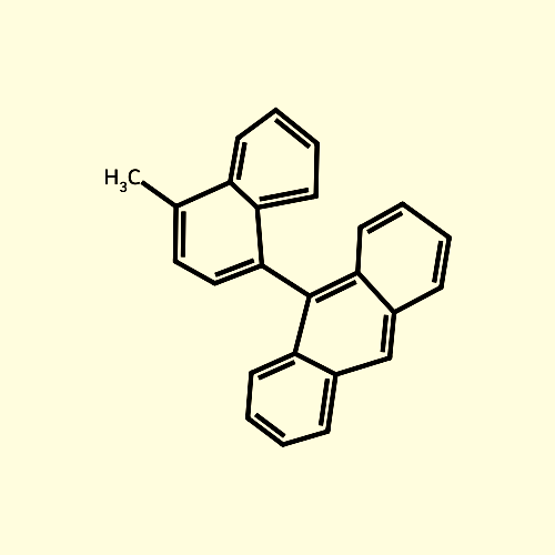 Cc1ccc(-c2c3ccccc3cc3ccccc23)c2ccccc12